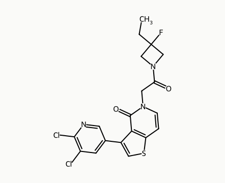 CCC1(F)CN(C(=O)Cn2ccc3scc(-c4cnc(Cl)c(Cl)c4)c3c2=O)C1